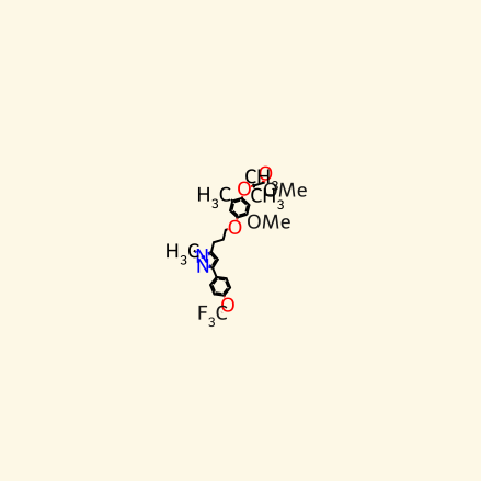 COC(=O)C(C)(C)Oc1cc(OC)c(OCCCc2cc(-c3ccc(OC(F)(F)F)cc3)nn2C)cc1C